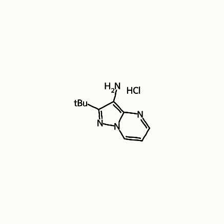 CC(C)(C)c1nn2cccnc2c1N.Cl